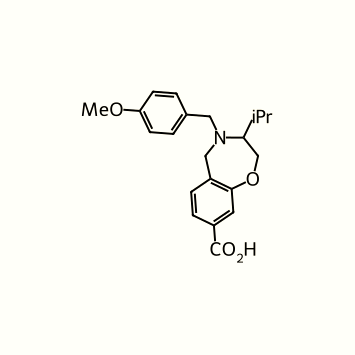 COc1ccc(CN2Cc3ccc(C(=O)O)cc3OCC2C(C)C)cc1